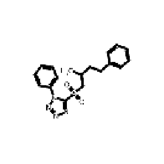 CC(CCc1ccccc1)CS(=O)(=O)c1nnnn1-c1ccccc1